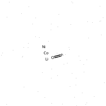 O=[P].[Co].[Li].[Ni]